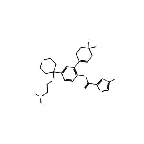 CN(C)CCOC1(c2ccc(NC(=O)c3cc(C#N)c[nH]3)c(C3=CCC(C)(C)CC3)c2)CCOCC1